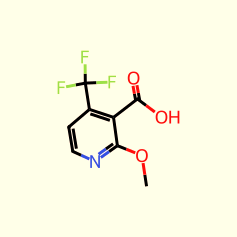 COc1nccc(C(F)(F)F)c1C(=O)O